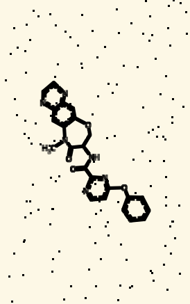 CN1C(=O)C(NC(=O)c2nccc(Oc3ccccc3)n2)COc2cc3nccnc3cc21